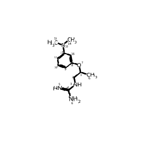 CC(CNC(=N)N)Oc1cccc(N(C)C)c1